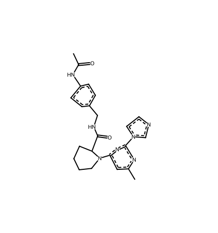 CC(=O)Nc1ccc(CNC(=O)C2CCCCN2c2cc(C)nc(-n3ccnc3)n2)cc1